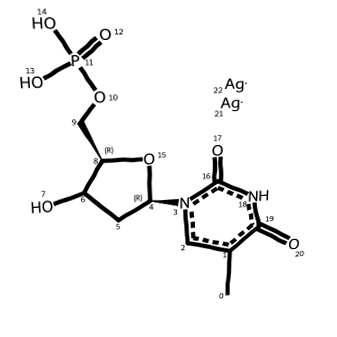 Cc1cn([C@H]2CC(O)[C@@H](COP(=O)(O)O)O2)c(=O)[nH]c1=O.[Ag].[Ag]